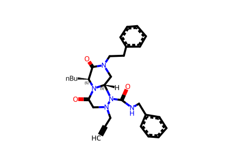 C#CCN1CC(=O)N2[C@@H](CCCC)C(=O)N(CCc3ccccc3)C[C@@H]2N1C(=O)NCc1ccccc1